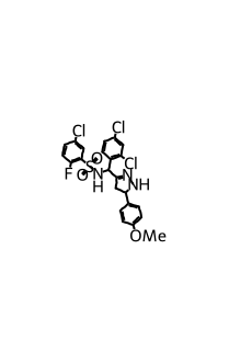 COc1ccc(C2CC(C(NS(=O)(=O)c3cc(Cl)ccc3F)c3ccc(Cl)cc3Cl)=NN2)cc1